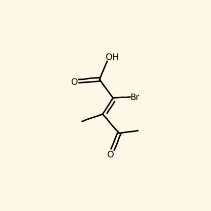 CC(=O)C(C)=C(Br)C(=O)O